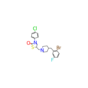 O=C1SC(CN2CCC(Cc3cc(F)ccc3Br)CC2)CN1c1ccc(Cl)cc1